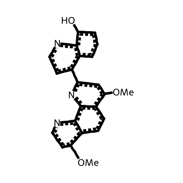 COc1ccnc2c1ccc1c(OC)cc(-c3ccnc4c(O)cccc34)nc12